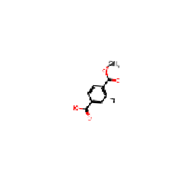 O=C(O)c1ccc(C(=O)O[SiH3])cc1.[Ti]